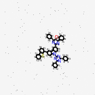 c1ccc(-c2nc(-c3ccccc3)nc(-n3c4ccc(-c5nc(-c6ccccc6)c6oc7ccccc7c6n5)cc4c4cc(-c5cccc6c5sc5ccccc56)ccc43)n2)cc1